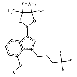 COc1cccc2c(B3OC(C)(C)C(C)(C)O3)nn(CCCC(F)(F)F)c12